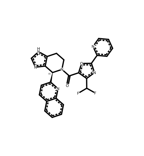 O=C(c1oc(-c2ccccn2)nc1C(F)F)N1CCc2[nH]cnc2[C@@H]1c1ccc2ccccc2n1